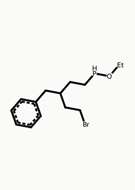 CCOPCCC(CCBr)Cc1ccccc1